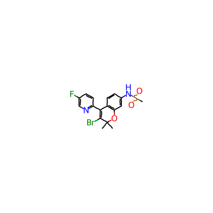 CC1(C)Oc2cc(NS(C)(=O)=O)ccc2C(c2ccc(F)cn2)=C1Br